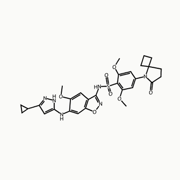 COc1cc2c(NS(=O)(=O)c3c(OC)cc(N4C(=O)CCC45CCC5)cc3OC)noc2cc1Nc1cc(C2CC2)n[nH]1